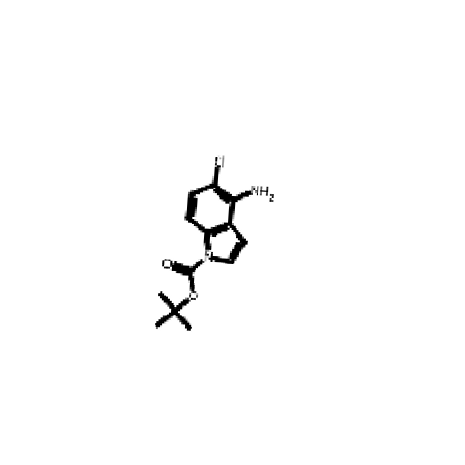 CC(C)(C)OC(=O)n1ccc2c(N)c(Cl)ccc21